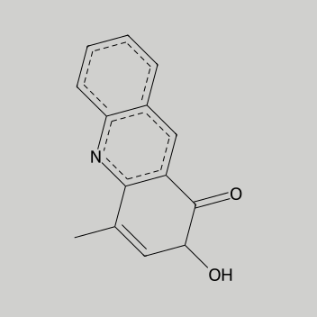 CC1=CC(O)C(=O)c2cc3ccccc3nc21